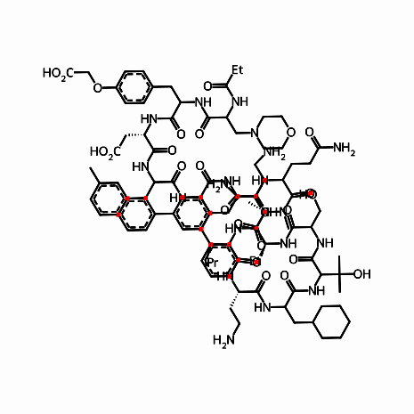 CCC(=O)NC(CN1CCOCC1)C(=O)NC(Cc1ccc(OCC(=O)O)cc1)C(=O)N[C@@H](CC(=O)O)C(=O)NC(Cc1cccc(C)c1)C(=O)NC(CCc1ccccc1)C(=O)NC(Cc1ccc(-c2ccccc2)cc1)C(=O)NC(CCC(N)=O)C(=O)N(C)[C@@H](C)C(=O)N[C@H](CC(C)C)C(=O)N[C@@H](CCN)C(=O)NC(CC1CCCCC1)C(=O)NC(C(=O)NC(CO)C(=O)N[C@@H](CC)C(=O)NC(CCN)C(N)=O)C(C)(C)O